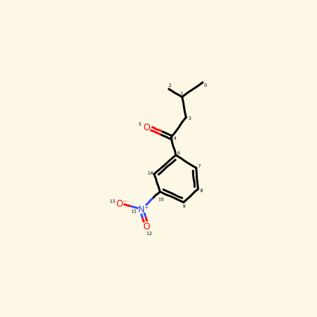 CC(C)CC(=O)c1cccc([N+](=O)[O-])c1